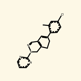 Cc1cc(Cl)ccc1C1=CC2=C(CC1)CN(c1ncccn1)N=C2